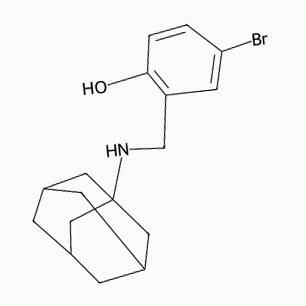 Oc1ccc(Br)cc1CNC12CC3CC(CC(C3)C1)C2